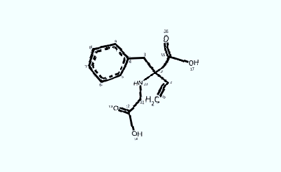 C=CC(Cc1ccccc1)(NCC(=O)O)C(=O)O